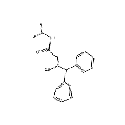 CC(C)NC(=O)C[S+]([O-])C(c1ccccc1)c1ccccc1